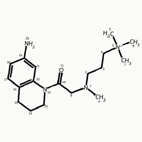 CN(CCC[N+](C)(C)C)CC(=O)N1CCCc2ccc(N)cc21